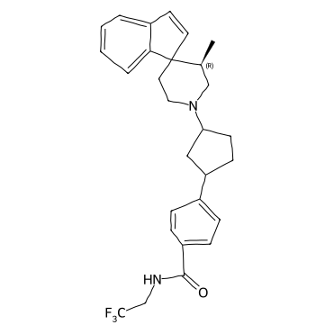 C[C@H]1CN(C2CCC(c3ccc(C(=O)NCC(F)(F)F)cc3)C2)CCC12C=Cc1ccccc12